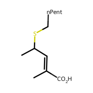 CCCCCCSC(C)C=C(C)C(=O)O